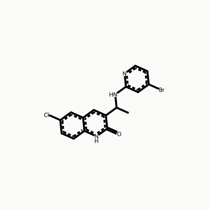 CC(Nc1cc(Br)ccn1)c1cc2cc(Cl)ccc2[nH]c1=O